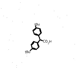 CC(C)(C)c1ccc(C(C(=O)O)c2ccc(C(C)(C)C)cc2)cc1